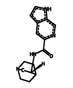 O=C(N[C@H]1CN2CCC1CC2)c1cc2cc[nH]c2cn1